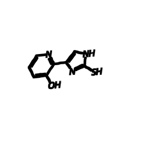 Oc1cccnc1-c1c[nH]c(S)n1